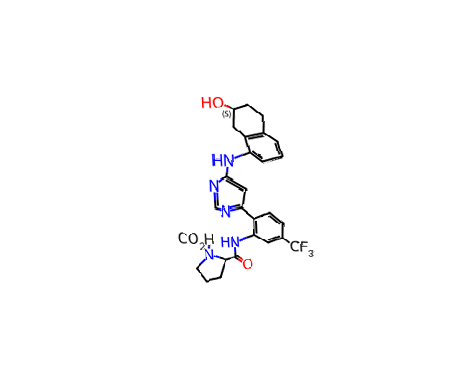 O=C(Nc1cc(C(F)(F)F)ccc1-c1cc(Nc2cccc3c2C[C@@H](O)CC3)ncn1)C1CCCN1C(=O)O